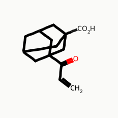 C=CC(=O)C12CC3CC(CC(C(=O)O)(C3)C1)C2